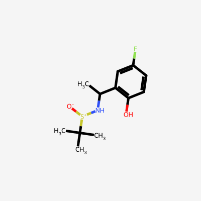 CC(N[S+]([O-])C(C)(C)C)c1cc(F)ccc1O